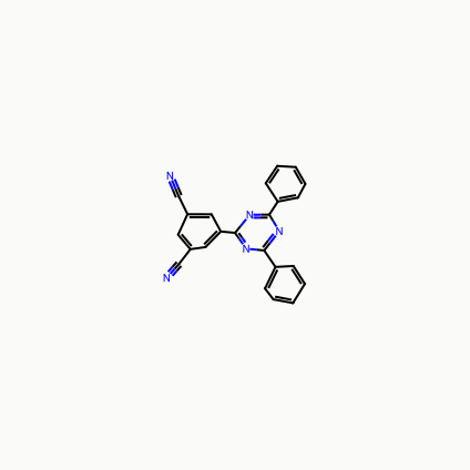 N#Cc1cc(C#N)cc(-c2nc(-c3ccccc3)nc(-c3ccccc3)n2)c1